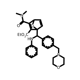 CCOC(=O)C1=C(C(=O)N(C)C)C2C=CC1(C(Nc1ccccc1)c1ccc(CN3CCOCC3)cc1)O2